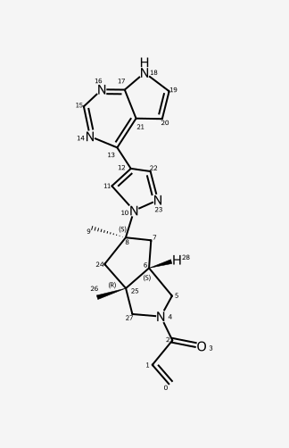 C=CC(=O)N1C[C@H]2C[C@](C)(n3cc(-c4ncnc5[nH]ccc45)cn3)C[C@@]2(C)C1